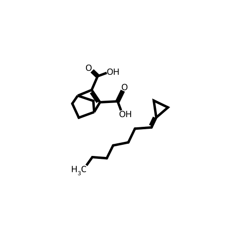 CCCCCCC=C1CC1.O=C(O)C1=C(C(=O)O)C2CCC1C2